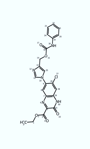 CCOC(=O)c1nc2cc(-n3cnc(COC(=O)Nc4ccccc4)c3)c(Cl)cc2[nH]c1=O